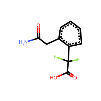 NC(=O)Cc1ccccc1C(F)(F)C(=O)O